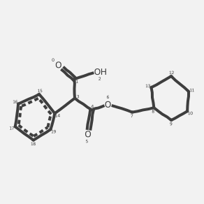 O=C(O)C(C(=O)OCC1CCCCC1)c1ccccc1